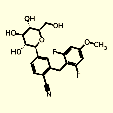 COc1cc(F)c(Cc2cc([C@@H]3O[C@H](CO)[C@@H](O)[C@H](O)[C@H]3O)ccc2C#N)c(F)c1